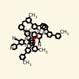 Cc1cccc(-c2ccc3c(c2)c2ccccc2n3-c2cc(C#N)c(-c3ccncc3)cc2-n2c3ccccc3c3cc(-c4cc(C)cc(Cc5cccc(-c6ccc7c8ccc(-c9cccc(C)c9)cc8n(-c8cc(C#N)c(-c9ccncc9)cc8-n8c9cc(-c%10cccc(C)c%10)ccc9c9ccc(-c%10cccc(C)c%10)cc98)c7c6)c5)c4)ccc32)c1